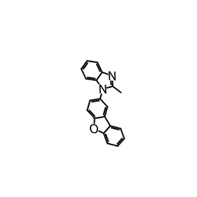 Cc1nc2ccccc2n1-c1ccc2oc3ccccc3c2c1